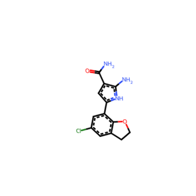 NC(=O)c1cc(-c2cc(Cl)cc3c2OCC3)[nH]c1N